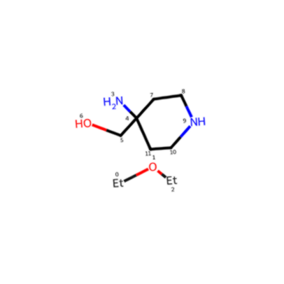 CCOCC.NC1(CO)CCNCC1